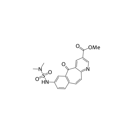 COC(=O)c1cnc2ccc3ccc(NS(=O)(=O)N(C)C)cc3c(=O)c2c1